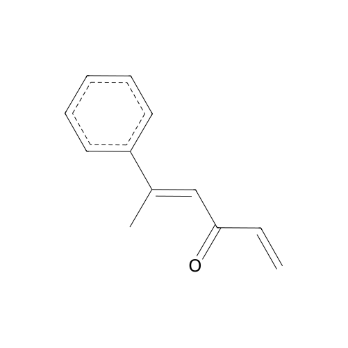 C=CC(=O)C=C(C)c1ccccc1